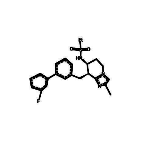 CCS(=O)(=O)N[C@H]1CCn2cc(C)nc2[C@H]1Cc1cccc(-c2cccc(F)c2)c1